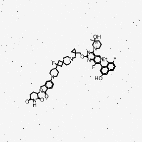 CCc1c(F)ccc2cc(O)cc(-c3ncc4c(N5CCC[C@@](C)(O)C5)nc(OCC5(CN6CCC7(CC6)CC(F)(C6CCN(c8ccc9c(c8)CN(C8CCC(=O)NC8=O)C9=O)CC6)C7)CC5)nc4c3F)c12